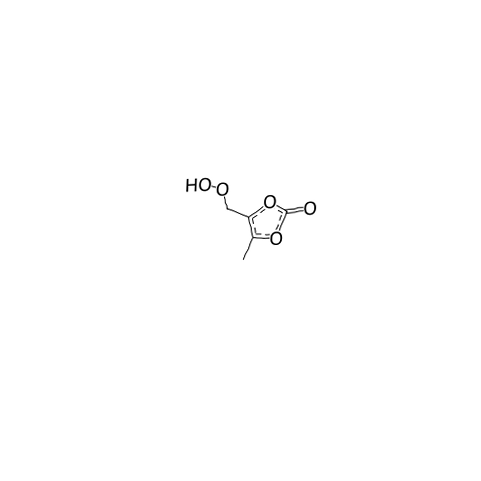 Cc1oc(=O)oc1COO